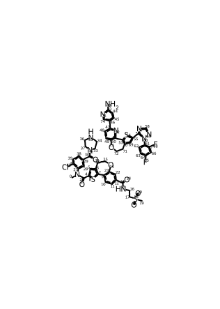 CN(C(=O)c1cc2c(s1)-c1ccc(C(=O)NCCS(C)(=O)=O)cc1OCC2)c1cc(C(=O)N2CCNCC2)ccc1Cl.Nc1ccc(-c2ccc3c(n2)-c2sc(-c4ncnn4-c4ccc(F)cc4F)cc2CCO3)cn1